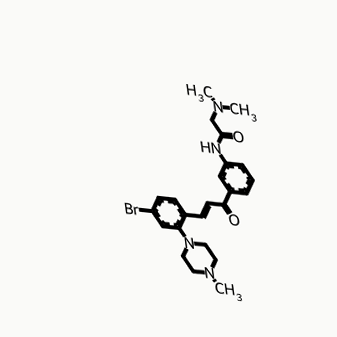 CN(C)CC(=O)Nc1cccc(C(=O)C=Cc2ccc(Br)cc2N2CCN(C)CC2)c1